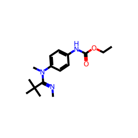 CCOC(=O)Nc1ccc(N(C)C(=NC)C(C)(C)C)cc1